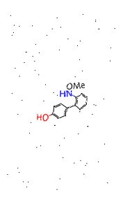 CONc1ccc[c]c1-c1ccc(O)cc1